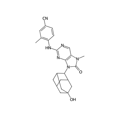 Cc1cc(C#N)ccc1Nc1ncc2c(n1)n(C1C3CC4CC1CC(O)(C4)C3)c(=O)n2C